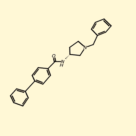 O=C(N[C@@H]1CCN(Cc2ccccc2)C1)c1ccc(-c2ccccc2)cc1